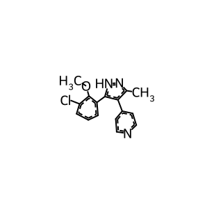 COc1c(Cl)cccc1-c1[nH]nc(C)c1-c1ccncc1